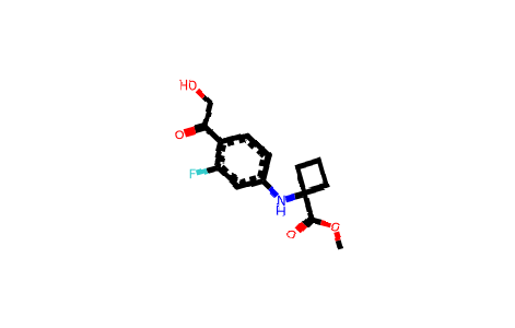 COC(=O)C1(Nc2ccc(C(=O)CO)c(F)c2)CCC1